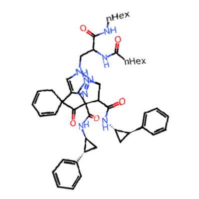 CCCCCCNC(=O)C(Cn1cc(C2(C(=O)C3(C(=O)N[C@H]4C[C@@H]4c4ccccc4)CNCC3C(=O)N[C@H]3C[C@@H]3c3ccccc3)C=CC=CC2)nn1)NC(=O)CCCCCC